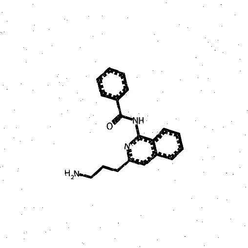 NCCCc1cc2ccccc2c(NC(=O)c2ccccc2)n1